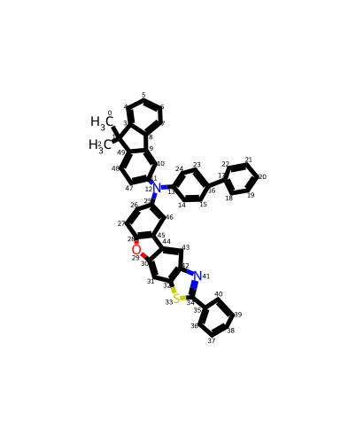 CC1(C)c2ccccc2-c2cc(N(c3ccc(-c4ccccc4)cc3)c3ccc4oc5cc6sc(-c7ccccc7)nc6cc5c4c3)ccc21